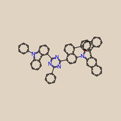 c1ccc(-c2nc(-c3ccc(-n4c5cc6ccccc6cc5c5c6ccccc6ccc54)c4c(-c5ccccc5)cccc34)nc(-c3cccc4c3c3ccccc3n4-c3ccccc3)n2)cc1